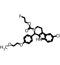 COCCOc1ccc(C2c3[nH]c4ccc(Cl)cc4c3CCN2C(=O)OCCF)cc1